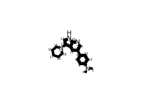 CN(C)c1ccc(-c2cnc3[nH]cc(N4CCCCC4)c3c2)cc1